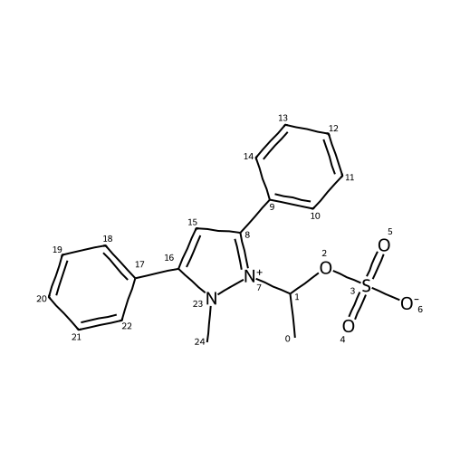 CC(OS(=O)(=O)[O-])[n+]1c(-c2ccccc2)cc(-c2ccccc2)n1C